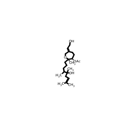 CC(=O)O[C@@H]1CC/C(=C\CO)CO[C@@]1(C)CCCC(C)C(C)(O)CC=C(C)C